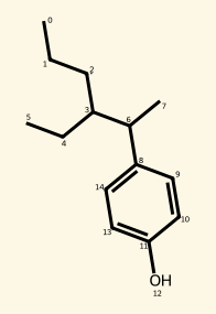 CC[CH]C(CC)C(C)c1ccc(O)cc1